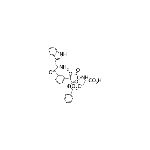 N[C@@H](Cc1c[nH]c2ccccc12)C(=O)c1cccc(C(OC(=O)ON[C@@H](CC(=O)O)C(=O)O)C(=O)OCc2ccccc2)c1